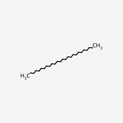 CCCCCCCCCCCC[CH]CCCCCCCCCCCCC